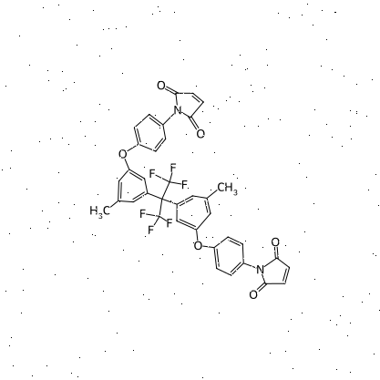 Cc1cc(Oc2ccc(N3C(=O)C=CC3=O)cc2)cc(C(c2cc(C)cc(Oc3ccc(N4C(=O)C=CC4=O)cc3)c2)(C(F)(F)F)C(F)(F)F)c1